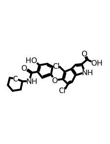 O=C(O)c1cc2c(Cl)c(Oc3ccc(O)c(C(=O)NC4CCCCC4)c3)c(Cl)cc2[nH]1